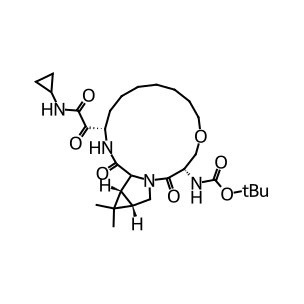 CC(C)(C)OC(=O)N[C@H]1COCCCCCCC[C@@H](C(=O)C(=O)NC2CC2)NC(=O)C2[C@@H]3[C@H](CN2C1=O)C3(C)C